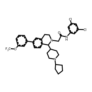 O=C(CN1CCc2cc(-c3cccc(OC(F)(F)F)c3)ccc2C1C1CCN(C2CCCC2)CC1)Nc1cc(Cl)cc(Cl)c1